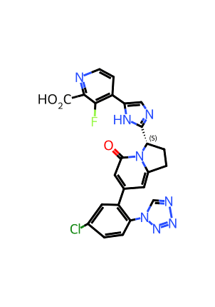 O=C(O)c1nccc(-c2cnc([C@@H]3CCc4cc(-c5cc(Cl)ccc5-n5cnnn5)cc(=O)n43)[nH]2)c1F